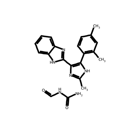 Cc1ccc(-c2[nH]c(C)nc2-c2nc3ccccc3[nH]2)c(C)c1.NC(=O)NC=O